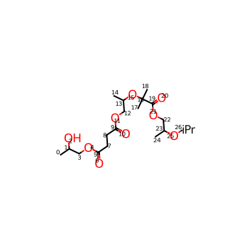 CC(O)COC(=O)CCC(=O)OCC(C)OC(C)(C)C(=O)OCC(C)OC(C)C